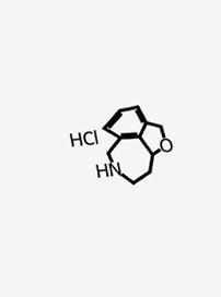 Cl.c1cc2c3c(c1)COC3CCNC2